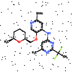 CC(=O)Nc1cc(Nc2cc(C)nc(C(C)(F)F)n2)c(OC[C@@H]2CCC[C@H](C)O2)cn1